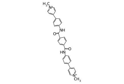 C[n+]1ccc(-c2ccc(NC(=O)c3ccc(C(=O)Nc4ccc(-c5cc[n+](C)cc5)cc4)cc3)cc2)cc1